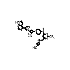 N#CC[C@]1(n2cc(-c3ncnc4[nH]ccc34)cn2)C[C@@H](N2CCC(Nc3cc(CN[C@H]4C[C@H](O)C4)nc(C(F)(F)F)n3)CC2)C1